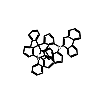 c1ccc(N(c2ccccc2)c2cccc3c2C2(c4ccccc4-3)c3cccc(N(c4ccccc4)c4cc5ccccc5c5ccccc45)c3-c3c2oc2ccccc32)cc1